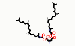 C/C(=C\C(=O)OC(=O)/C=C\C(=O)OC(=O)/C=C(\C)CCC[C@H](C)CCC[C@H](C)CCCC(C)C)CCC[C@H](C)CCC[C@H](C)CCCC(C)C